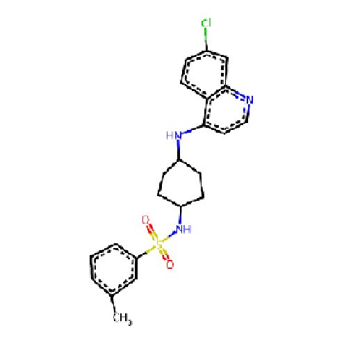 Cc1cccc(S(=O)(=O)NC2CCC(Nc3ccnc4cc(Cl)ccc34)CC2)c1